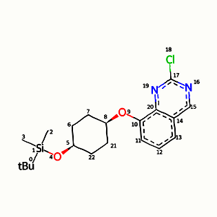 CC(C)(C)[Si](C)(C)O[C@H]1CC[C@@H](Oc2cccc3cnc(Cl)nc23)CC1